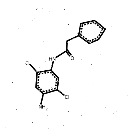 Nc1cc(Cl)c(NC(=O)Cc2ccccc2)cc1Cl